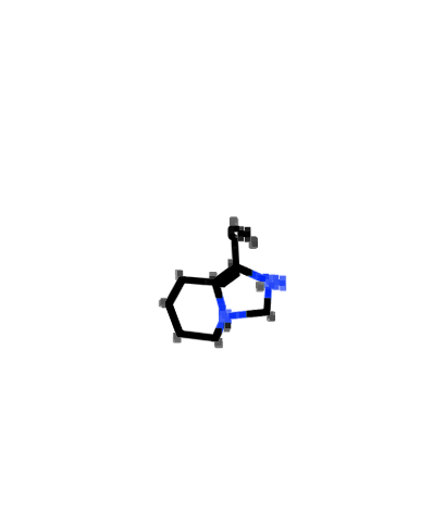 CC1=C2CCCCN2CN1